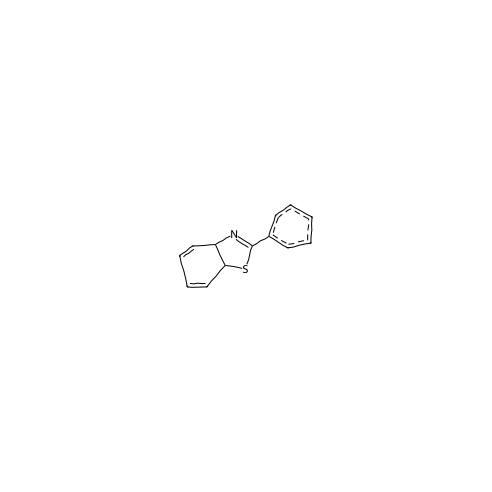 C1=CC2N=C(c3ccccc3)SC2C=C1